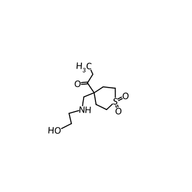 CCC(=O)C1(CNCCO)CCS(=O)(=O)CC1